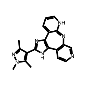 Cc1nn(C)c(C)c1-c1nc2c([nH]1)-c1ccncc1N=C1NC=CC=C12